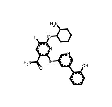 NC(=O)c1cc(F)c(NC2CCCCC2N)nc1Nc1cncc(-c2ccccc2O)c1